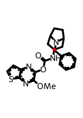 COc1nc2sccc2nc1OC(=O)NC1CC2CCC(C1)N2Cc1ccccc1